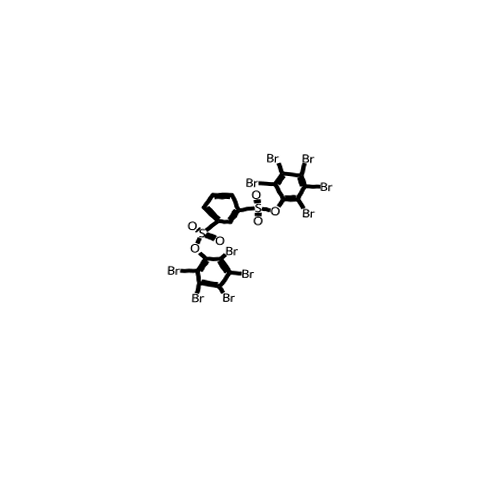 O=S(=O)(Oc1c(Br)c(Br)c(Br)c(Br)c1Br)c1cccc(S(=O)(=O)Oc2c(Br)c(Br)c(Br)c(Br)c2Br)c1